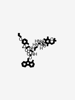 C=CCOc1ccc(C[C@H](NC(=O)[C@H](CCCNC(=N)NS(=O)(=O)c2c(C)c(C)c3c(c2C)CCC(C)(C)O3)NC(=O)OCC2c3ccccc3-c3cccc(C)c32)C(=O)OC)cc1